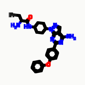 CC(C)C[C@H](N)C(=O)NC1CCC(n2ncc3c(N)nc(-c4ccc(Oc5ccccc5)cc4)nc32)CC1